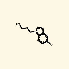 [O]c1ccc2c(ccn2CCCO)c1